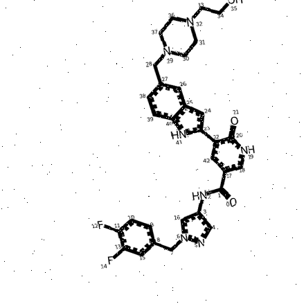 O=C(Nc1cnn(Cc2ccc(F)c(F)c2)c1)c1c[nH]c(=O)c(-c2cc3cc(CN4CCN(CCO)CC4)ccc3[nH]2)c1